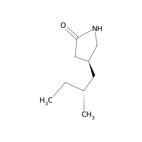 CC[C@@H](C)C[C@@H]1CNC(=O)C1